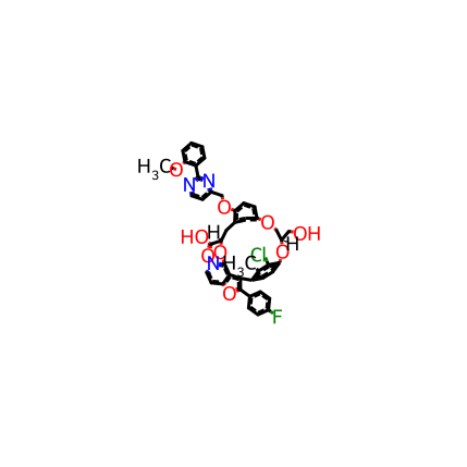 COc1ccccc1-c1nccc(COc2ccc3cc2C[C@H](C(=O)O)Oc2nccc4oc(-c5ccc(F)cc5)c(c24)-c2ccc(c(Cl)c2C)O[C@H](CO)CO3)n1